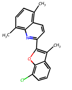 Cc1ccc(C)c2nc(-c3oc4c(Cl)cccc4c3C)ccc12